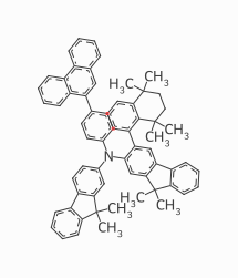 CC1(C)CCC(C)(C)c2c(-c3cc4c(cc3N(c3ccc(-c5cc6ccccc6c6ccccc56)cc3)c3ccc5c(c3)C(C)(C)c3ccccc3-5)C(C)(C)c3ccccc3-4)cccc21